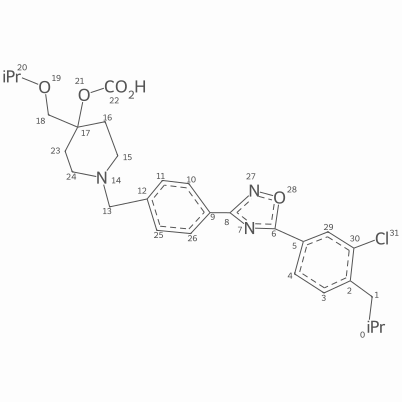 CC(C)Cc1ccc(-c2nc(-c3ccc(CN4CCC(COC(C)C)(OC(=O)O)CC4)cc3)no2)cc1Cl